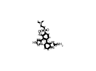 CN(C)CCS(=O)(=O)c1ccc(-c2cccc3sc(N)nc23)c(-c2nn[nH]n2)c1[S+]=O